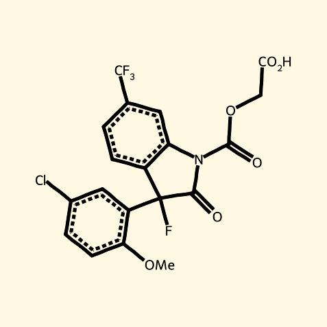 COc1ccc(Cl)cc1C1(F)C(=O)N(C(=O)OCC(=O)O)c2cc(C(F)(F)F)ccc21